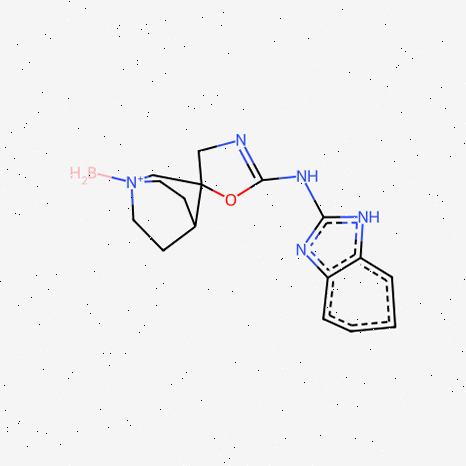 B[N+]12CCC(CC1)C1(CN=C(Nc3nc4ccccc4[nH]3)O1)C2